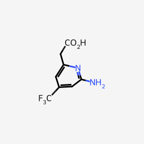 Nc1cc(C(F)(F)F)cc(CC(=O)O)n1